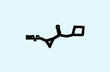 CCOC(=O)C1CC1C(=O)CC1CCC1